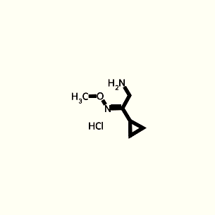 CON=C(CN)C1CC1.Cl